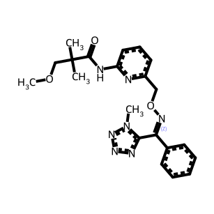 COCC(C)(C)C(=O)Nc1cccc(CO/N=C(/c2ccccc2)c2nnnn2C)n1